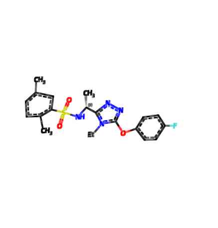 CCn1c(Oc2ccc(F)cc2)nnc1[C@@H](C)NS(=O)(=O)c1cc(C)ccc1C